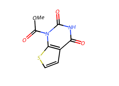 COC(=O)n1c(=O)[nH]c(=O)c2ccsc21